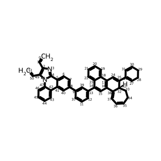 C=Cc1nc2c3ccc(-c4cccc(-c5cc6c(c7ccccc57)C=C(C5=CCCC=C5)[C@@H]5CCC=CC=C65)c4)cc3c3ccccc3n2c1C=C